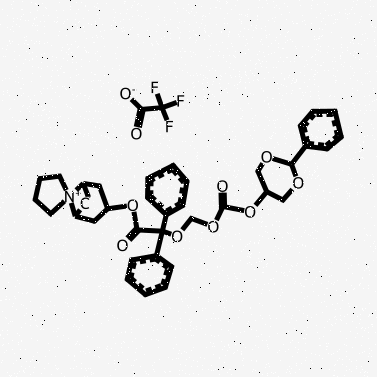 O=C(OCOC(C(=O)OC1CC2CCC(C1)[N+]21CCCC1)(c1ccccc1)c1ccccc1)OC1COC(c2ccccc2)OC1.O=C([O-])C(F)(F)F